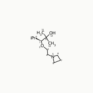 CC(C)[C@H](OCCN1CCC1)C(C)(C)O